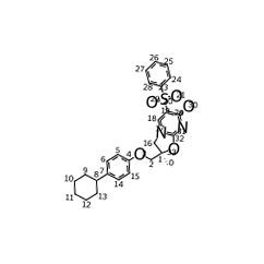 C[C@]1(COc2ccc(C3CCCCC3)cc2)Cn2cc(S(=O)(=O)c3ccccc3)c(=O)nc2O1